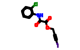 O=C(Nc1ccccc1Cl)C(=O)OCC#CI